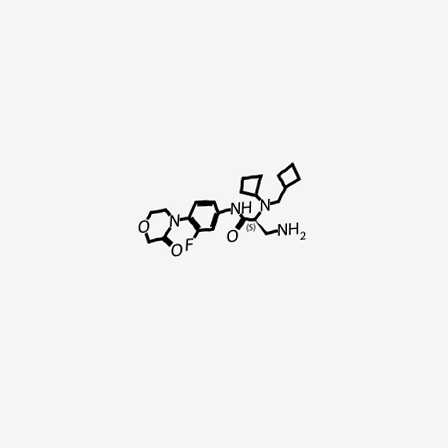 NC[C@@H](C(=O)Nc1ccc(N2CCOCC2=O)c(F)c1)N(CC1CCC1)C1CCC1